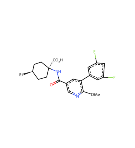 CC[C@H]1CC[C@](NC(=O)c2cnc(OC)c(-c3cc(F)cc(F)c3)c2)(C(=O)O)CC1